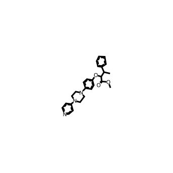 COC(=O)C(Oc1ccc(N2CCN(c3ccncc3)CC2)cc1)C(C)c1ccccc1